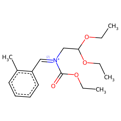 CCOC(=O)/[N+](=C\c1ccccc1C)CC(OCC)OCC